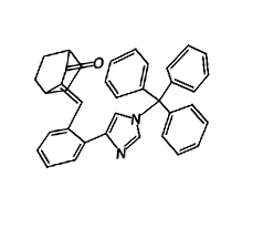 O=C1C(=Cc2ccccc2-c2cn(C(c3ccccc3)(c3ccccc3)c3ccccc3)cn2)C2CCC1CC2